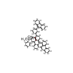 CC1(C)c2ccccc2-c2c(-c3ccccc3N(c3ccc(-c4cccc(-n5c6ccccc6c6ccccc65)c4)cc3)c3cccc4c3ccc3ccccc34)cccc21